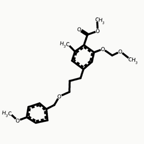 COCOc1cc(CCCOCc2ccc(OC)cc2)cc(C)c1C(=O)OC